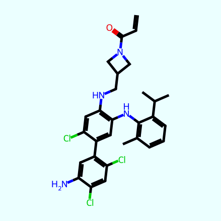 C=CC(=O)N1CC(CNc2cc(Cl)c(-c3cc(N)c(Cl)cc3Cl)cc2Nc2c(C)cccc2C(C)C)C1